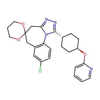 Clc1ccc2c(c1)CC1(Cc3nnc([C@H]4CC[C@H](Oc5ccccn5)CC4)n3-2)OCCCO1